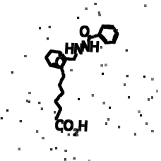 O=C(O)CCCCCCC1C2CCC(O2)C1CNNC(=O)c1ccccc1